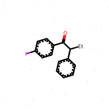 CCC(C(=O)c1ccc(I)cc1)c1ccccc1